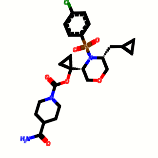 NC(=O)C1CCN(C(=O)OC2([C@H]3COC[C@@H](CC4CC4)N3S(=O)(=O)c3ccc(Cl)cc3)CC2)CC1